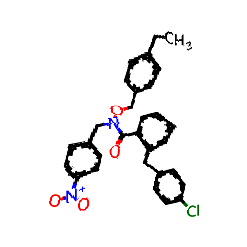 CCc1ccc(CON(Cc2ccc([N+](=O)[O-])cc2)C(=O)c2ccccc2Cc2ccc(Cl)cc2)cc1